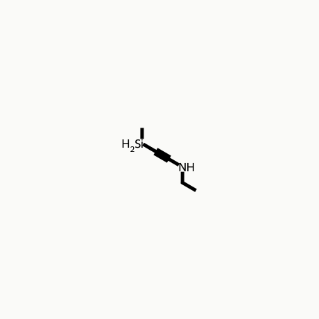 CCNC#C[SiH2]C